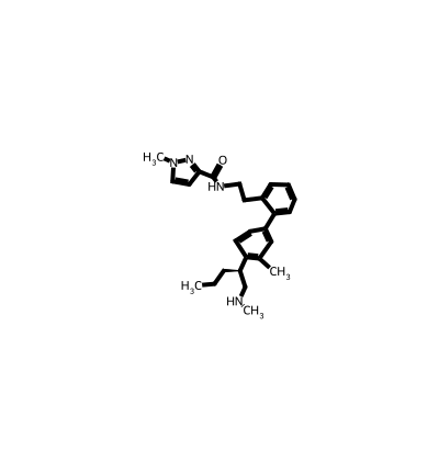 CCC[C@H](CNC)c1ccc(-c2ccccc2CCNC(=O)c2ccn(C)n2)cc1C